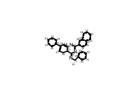 C[C@H](/N=C(\N=C(/N)c1ccc2ccccc2c1)C1C=CC(c2ccccc2)=CC1)c1ccccc1